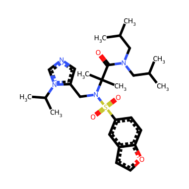 CC(C)CN(CC(C)C)C(=O)C(C)(C)N(Cc1cncn1C(C)C)S(=O)(=O)c1ccc2occc2c1